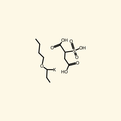 CCCCO[CH]([K])CC.O=C(O)CC(C(=O)O)S(=O)(=O)O